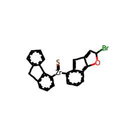 [S]=[Zr]([c]1cccc2c1-c1ccccc1C2)[c]1cccc2c1=CC1=CC(Br)OC=21